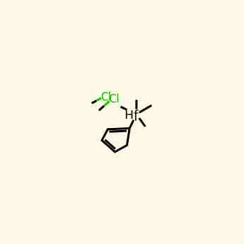 CCl.CCl.[CH3][Hf]([CH3])([CH3])([CH3])[C]1=CC=CC1